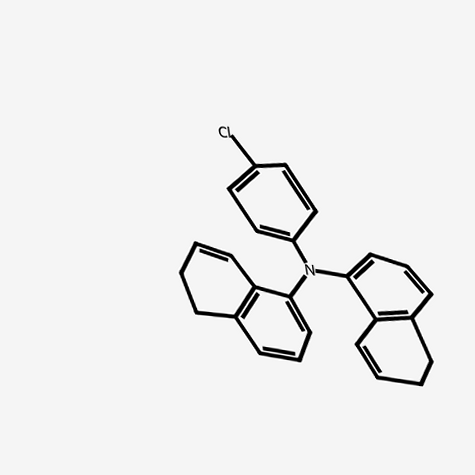 Clc1ccc(N(c2cccc3c2C=CCC3)c2cccc3c2C=CCC3)cc1